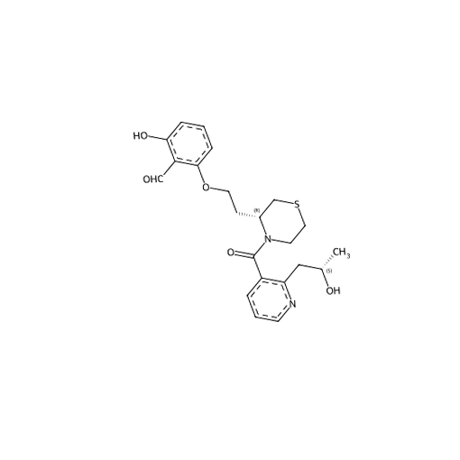 C[C@H](O)Cc1ncccc1C(=O)N1CCSC[C@H]1CCOc1cccc(O)c1C=O